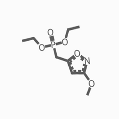 CCOP(=O)(Cc1cc(OC)no1)OCC